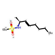 C[C@@H](/C=C/CCCC(C)(C)C)NS(=O)(=O)C(C)(C)C